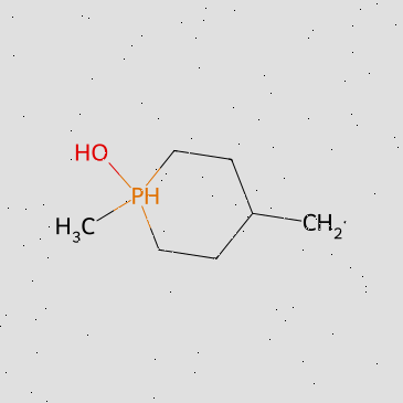 [CH2]C1CC[PH](C)(O)CC1